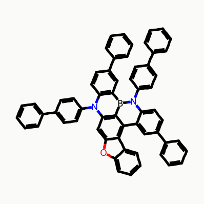 c1ccc(-c2ccc(N3B4c5cc(-c6ccccc6)ccc5N(c5ccc(-c6ccccc6)cc5)c5cc6oc7ccccc7c6c(c54)-c4cc(-c5ccccc5)ccc43)cc2)cc1